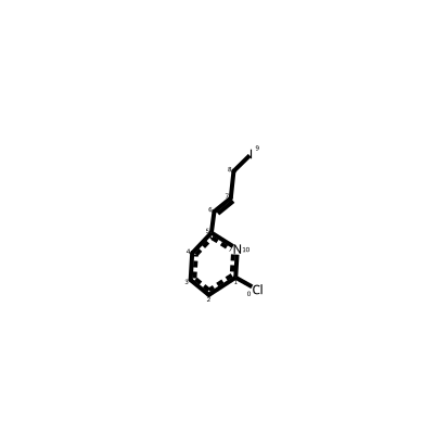 Clc1cccc(C=CCI)n1